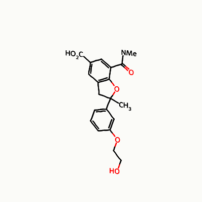 CNC(=O)c1cc(C(=O)O)cc2c1OC(C)(c1cccc(OCCO)c1)C2